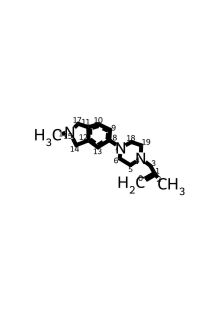 C=C(C)CN1CCN(c2ccc3c(c2)CN(C)C3)CC1